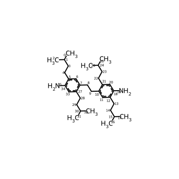 CC(C)CCc1cc(CCc2cc(CCC(C)C)c(N)cc2CCC(C)C)c(CCC(C)C)cc1N